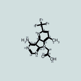 Cc1cc(C(F)(F)F)nc2c3c(N)ncnc3n(CC(=O)O)c12